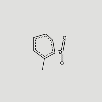 Cc1ccccc1.[O]=[Zr]=[O]